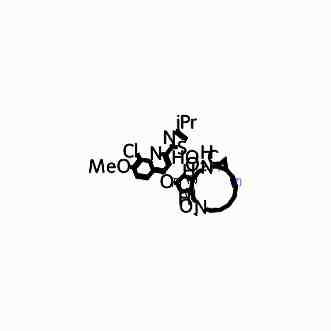 COc1ccc2c(O[C@@H]3C[C@H]4C(=O)N[C@]5(C(=O)O)CC5/C=C\CCCCN(C)C(=O)[C@@H]4C3)cc(-c3nc(C(C)C)cs3)nc2c1Cl